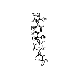 CN(CC(C)(C)C)C1CCN(S(=O)(=O)c2ccc(N3CCOC3=O)nc2)CC1